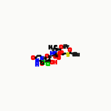 CC(C)OC(=O)[C@@H](C)N[P@@](=O)(OCCSC(=O)C(C)(C)C)OC[C@H]1O[C@@H](n2ccc(=O)[nH]c2=O)C(Cl)(Cl)[C@@H]1O